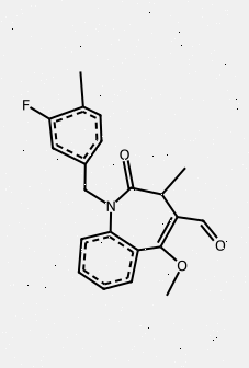 COC1=C(C=O)C(C)C(=O)N(Cc2ccc(C)c(F)c2)c2ccccc21